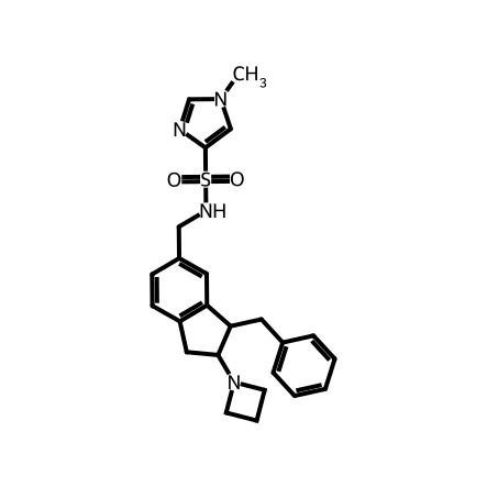 Cn1cnc(S(=O)(=O)NCc2ccc3c(c2)C(Cc2ccccc2)C(N2CCC2)C3)c1